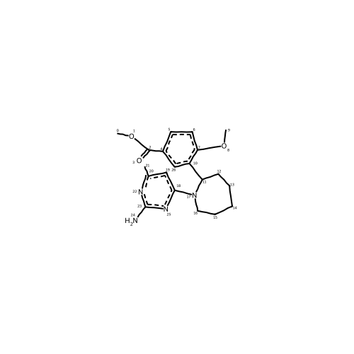 COC(=O)c1ccc(OC)c(C2CCCCCN2c2cc(C)nc(N)n2)c1